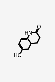 O=C1CCC2CC(O)=CC=C2N1